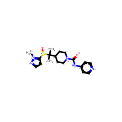 Cn1nccc1[S+]([O-])C(C)(C)C1CCN(C(=O)Nc2ccncc2)CC1